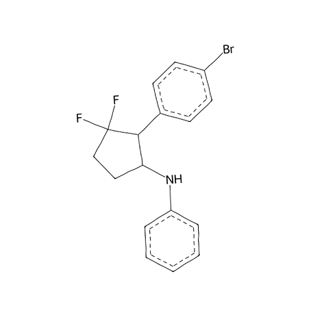 FC1(F)CCC(Nc2ccccc2)C1c1ccc(Br)cc1